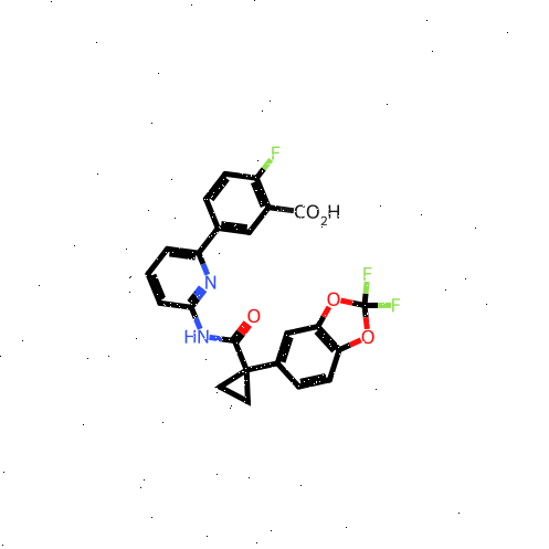 O=C(O)c1cc(-c2cccc(NC(=O)C3(c4ccc5c(c4)OC(F)(F)O5)CC3)n2)ccc1F